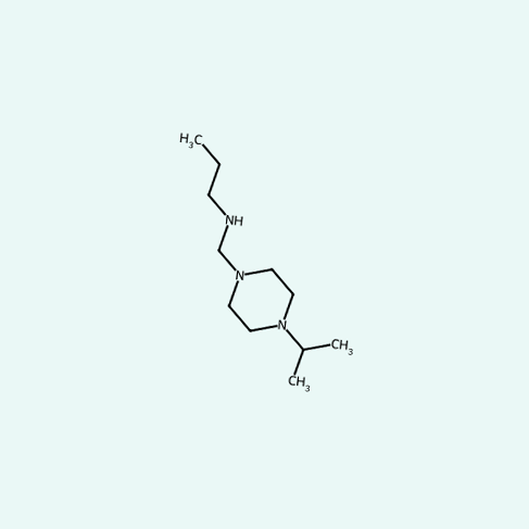 CCCNCN1CCN(C(C)C)CC1